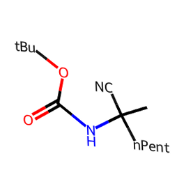 CCCCCC(C)(C#N)NC(=O)OC(C)(C)C